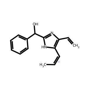 C=Cc1nc(C(O)c2ccccc2)[nH]c1/C=C\C